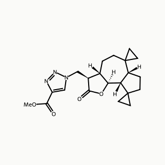 COC(=O)c1cn(C[C@@H]2C(=O)O[C@H]3[C@H]2CCC2(CC2)[C@@H]2CCC4(CC4)[C@H]32)nn1